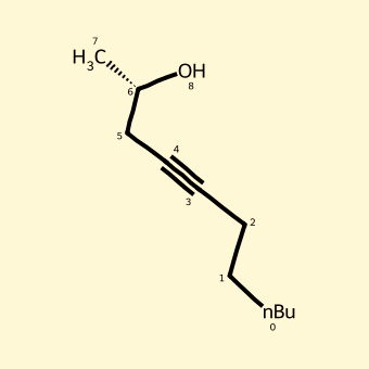 CCCCCCC#CC[C@H](C)O